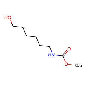 CC(C)(C)OC(=O)NCCCC[CH]CO